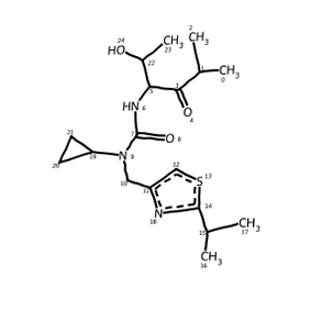 CC(C)C(=O)C(NC(=O)N(Cc1csc(C(C)C)n1)C1CC1)C(C)O